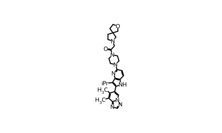 Cc1c(-c2[nH]c3ccc(N4CCN(C(=O)CN5CCC6(CCOC6)C5)CC4)nc3c2C(C)C)cn2ncnc2c1C